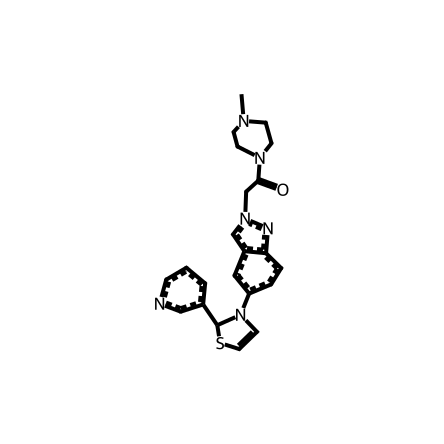 CN1CCN(C(=O)Cn2cc3cc(N4C=CSC4c4cccnc4)ccc3n2)CC1